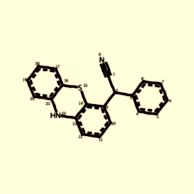 N#CC(c1ccccc1)c1cccc2c1Sc1ccccc1N2